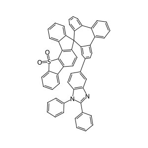 O=S1(=O)c2ccccc2-c2ccc3c(c21)-c1ccccc1C31c2ccccc2-c2ccccc2-c2ccc(-c3ccc4c(c3)nc(-c3ccccc3)n4-c3ccccc3)cc21